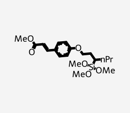 CCCC(CCOc1ccc(/C=C/C(=O)OC)cc1)[Si](OC)(OC)OC